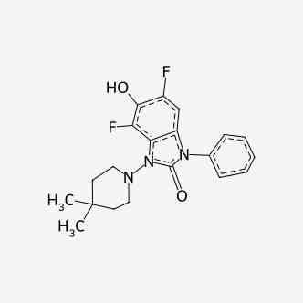 CC1(C)CCN(n2c(=O)n(-c3ccccc3)c3cc(F)c(O)c(F)c32)CC1